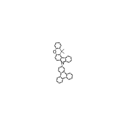 CC1(C)c2ccccc2Oc2ccc3c(c21)c1ccccc1n3-c1ccc2c3ccccc3c3ccccc3c2c1